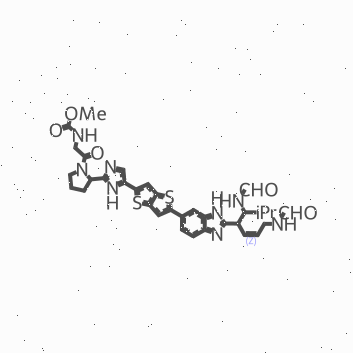 COC(=O)NCC(=O)N1CCCC1c1ncc(-c2cc3sc(-c4ccc5nc(C(/C=C\CNC=O)C(NC=O)C(C)C)[nH]c5c4)cc3s2)[nH]1